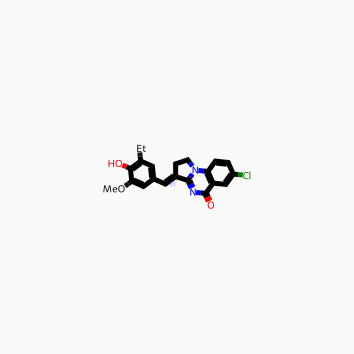 CCc1cc(/C=C2\CCn3c2nc(=O)c2cc(Cl)ccc23)cc(OC)c1O